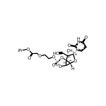 C#C[C@@]1(C)[C@H](n2ccc(=O)[nH]c2=O)O[C@@H]2C3O[P@](=O)(OCCOCC(=O)OC(C)C)O[C@]321